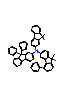 CC1(C)c2ccccc2-c2ccc(N(c3ccc4c(c3)-c3c(-c5ccccc5)cccc3C4(C)C)c3ccc4c(c3)C(c3ccccc3)(c3ccccc3)c3ccccc3-4)cc21